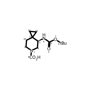 CC(C)(C)OC(=O)N[C@H]1CN(C(=O)O)CCC12CC2